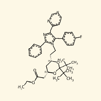 CCOC(=O)C[C@@H]1C[C@H](CCn2c(-c3ccccc3)nc(-c3ccncn3)c2-c2ccc(F)cc2)OC(C(C)(C)C)(C(C)(C)C)O1